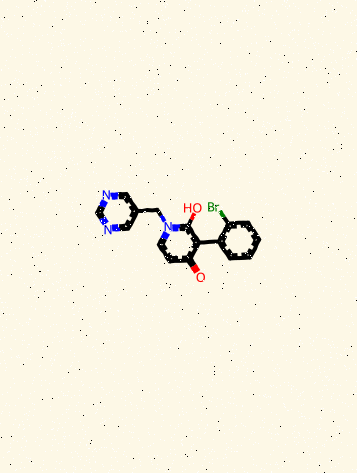 O=c1ccn(Cc2cncnc2)c(O)c1-c1ccccc1Br